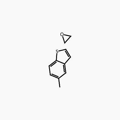 C1CO1.Cc1ccc2sccc2c1